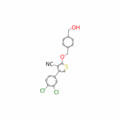 N#Cc1c(-c2ccc(Cl)c(Cl)c2)csc1OCc1ccc(CO)cc1